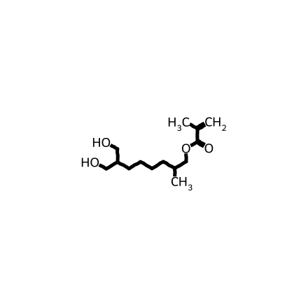 C=C(C)C(=O)OCC(C)CCCCC(CO)CO